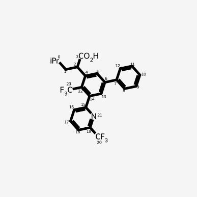 CC(C)CC(C(=O)O)c1cc(-c2ccccc2)cc(-c2cccc(C(F)(F)F)n2)c1C(F)(F)F